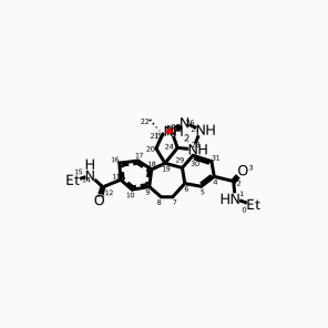 CCNC(=O)C1=CC2CCc3cc(C(=O)NCC)ccc3C(C[C@H](C)N)(C3N=NNN3)C2C=C1